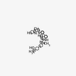 CCC1(C(=O)O)CCC(N2CCc3c(nc(C(=O)Nc4cccc(-c5cccc(NC(=O)c6nc7c(n6C)CCNC7)c5Cl)c4Cl)n3C)C2)CC1